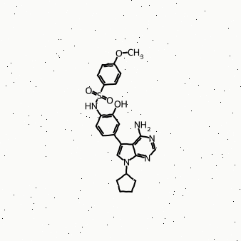 COc1ccc(S(=O)(=O)Nc2ccc(-c3cn(C4CCCC4)c4ncnc(N)c34)cc2O)cc1